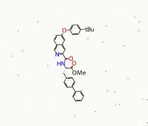 COC(=O)[C@H](Cc1ccc(-c2ccccc2)cc1)NC(=O)c1cc2cc(Oc3ccc(C(C)(C)C)cc3)ccc2cn1